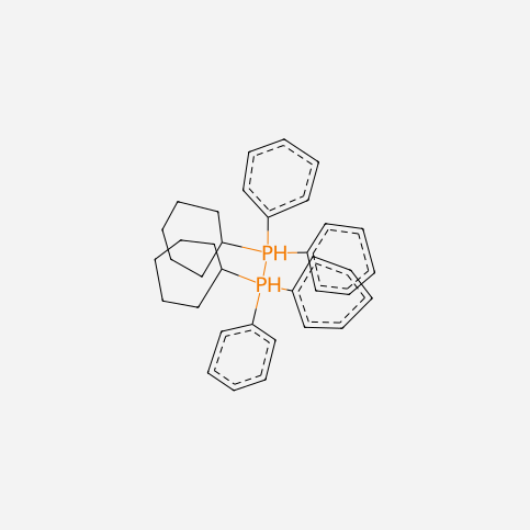 c1ccc([PH](c2ccccc2)(C2CCCCC2)[PH](c2ccccc2)(c2ccccc2)C2CCCCC2)cc1